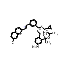 CC(=O)OC(C)(C)c1ccccc1CC[C@@H](SCC1CC1)c1cccc(/C=C/c2ccc3ccc(Cl)cc3n2)c1.[NaH]